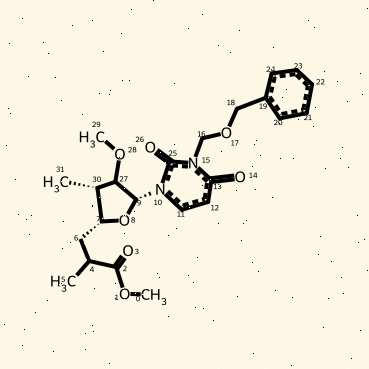 COC(=O)C(C)C[C@H]1O[C@@H](n2ccc(=O)n(COCc3ccccc3)c2=O)C(OC)[C@H]1C